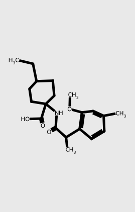 CCC1CCC(NC(=O)C(C)c2ccc(C)cc2OC)(C(=O)O)CC1